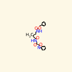 CC(CCNC(=O)OCc1ccccc1)CC(=O)NCC(=O)c1nc2ccccc2o1